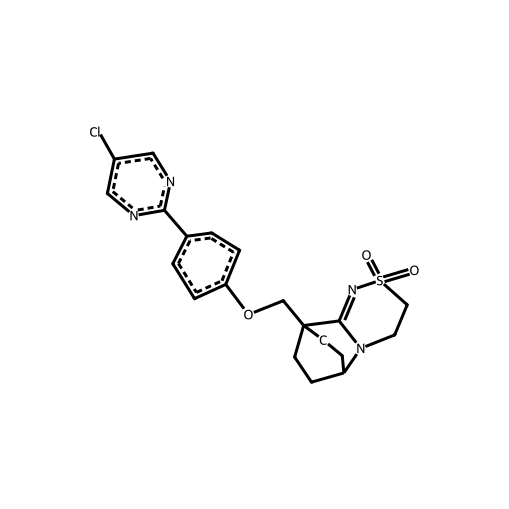 O=S1(=O)CCN2C(=N1)C1(COc3ccc(-c4ncc(Cl)cn4)cc3)CCC2CC1